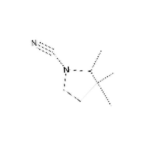 CC1N(C#N)CCC1(C)C